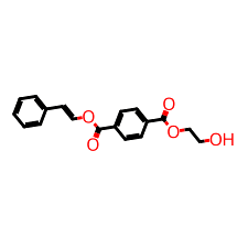 O=C(OC=Cc1ccccc1)c1ccc(C(=O)OCCO)cc1